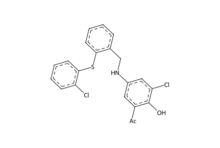 CC(=O)c1cc(NCc2ccccc2Sc2ccccc2Cl)cc(Cl)c1O